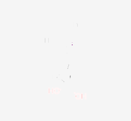 C=C1/C(=C\C=C2CCC[C@@]3(C)C2CC[C@@H]3[C@H](C)[C@H](I)CCC(C)C)C[C@@H](O)C[C@H]1O